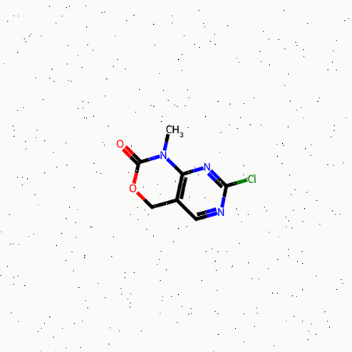 CN1C(=O)OCc2cnc(Cl)nc21